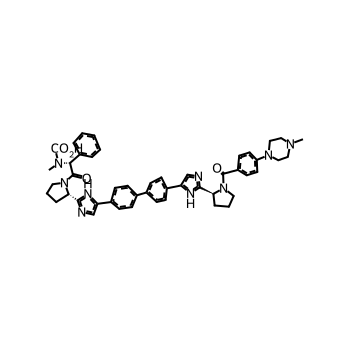 CN1CCN(c2ccc(C(=O)N3CCC[C@H]3c3ncc(-c4ccc(-c5ccc(-c6cnc([C@@H]7CCCN7C(=O)[C@@H](c7ccccc7)N(C)C(=O)O)[nH]6)cc5)cc4)[nH]3)cc2)CC1